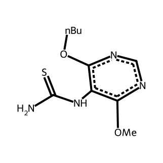 CCCCOc1ncnc(OC)c1NC(N)=S